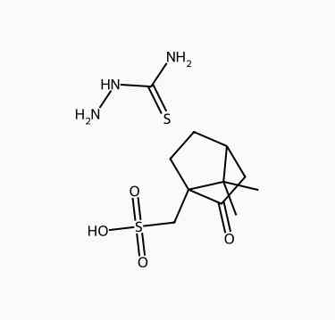 CC1(C)C2CCC1(CS(=O)(=O)O)C(=O)C2.NNC(N)=S